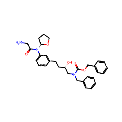 NCC(=O)N(c1cccc(CC[C@H](O)CN(Cc2ccccc2)C(=O)OCc2ccccc2)c1)[C@@H]1CCCO1